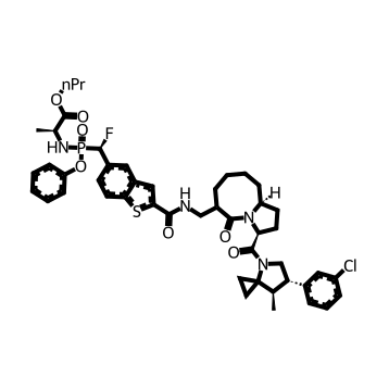 CCCOC(=O)[C@H](C)NP(=O)(Oc1ccccc1)[C@@H](F)c1ccc2sc(C(=O)NCC3CCCC[C@H]4CC[C@@H](C(=O)N5C[C@H](c6cccc(Cl)c6)[C@@H](C)C56CC6)N4C3=O)cc2c1